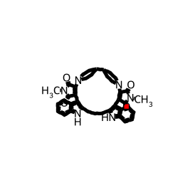 CN1C(=O)C2=C(C1=O)N1CCC(CC1)C1CCN(CC1)C1=C(C(=O)N(C)C1=O)c1c([nH]c3ccccc13)CCCc1[nH]c3ccccc3c12